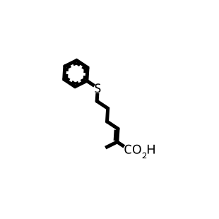 CC(=CCCCSc1ccccc1)C(=O)O